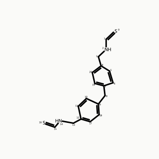 S=CNCc1ccc(Cc2ccc(CNC=S)cc2)cc1